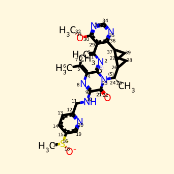 C=C(/N=C1\C(=C(C)C)N=C(NCc2ccc([S+](C)[O-])cn2)C(=O)N1[C@@H](C)C1CC1)c1c(OC)ncnc1C1CC1